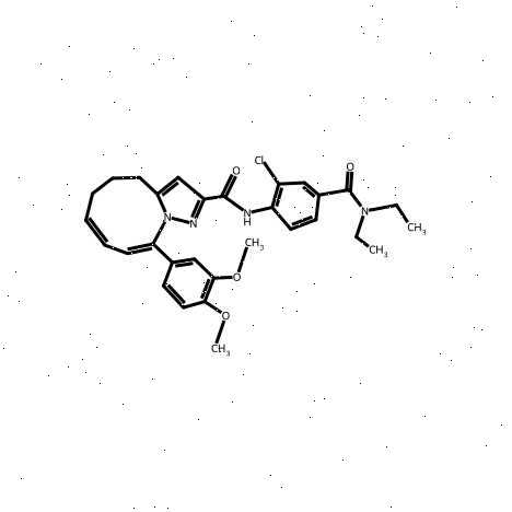 CCN(CC)C(=O)c1ccc(NC(=O)c2cc3n(n2)/C(c2ccc(OC)c(OC)c2)=C\C=C/CCC3)c(Cl)c1